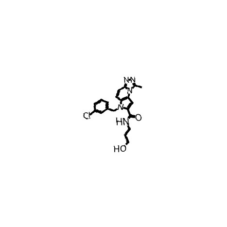 Cc1nnc2ccc3c(cc(C(=O)NCCCO)n3Cc3cccc(Cl)c3)n12